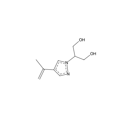 C=C(C)c1cnn(C(CO)CO)c1